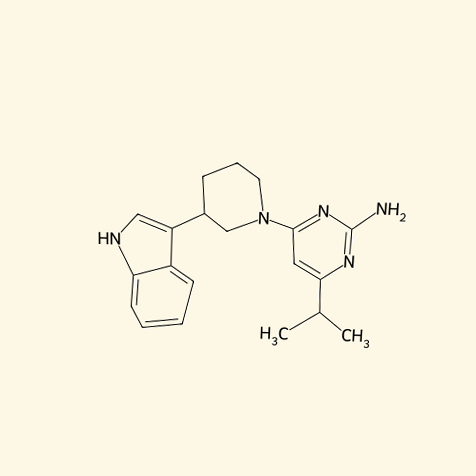 CC(C)c1cc(N2CCCC(c3c[nH]c4ccccc34)C2)nc(N)n1